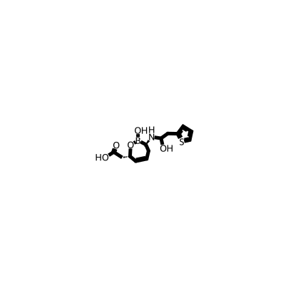 O=C(O)C[C@H]1C=CC[C@H](NC(O)Cc2cccs2)B(O)O1